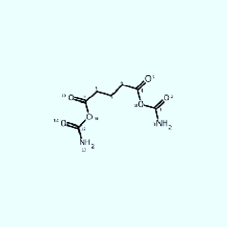 NC(=O)OC(=O)CCCC(=O)OC(N)=O